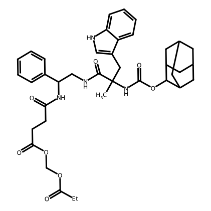 CCC(=O)OCOC(=O)CCC(=O)NC(CNC(=O)C(C)(Cc1c[nH]c2ccccc12)NC(=O)OC1C2CC3CC(C2)CC1C3)c1ccccc1